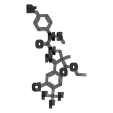 CCOC(=O)C1(C)CN(C(=O)N(SC)c2ccc(Br)cc2)N=C1c1ccc(C(F)(F)F)c(Cl)c1